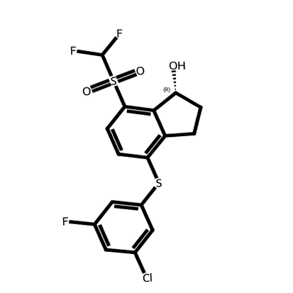 O=S(=O)(c1ccc(Sc2cc(F)cc(Cl)c2)c2c1[C@H](O)CC2)C(F)F